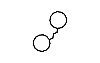 [CH]1CCCCCCC(CCCC2CCCCC[CH]CCCCCC2)CCCCC1